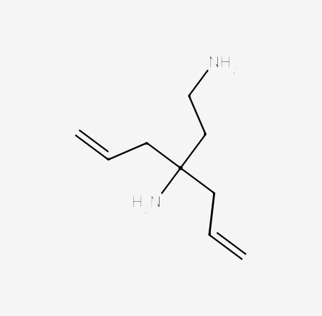 C=CCC(N)(CC=C)CCN